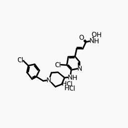 Cl.Cl.O=C(/C=C/c1cnc(NC2CCN(Cc3ccc(Cl)cc3)CC2)c(Cl)c1)NO